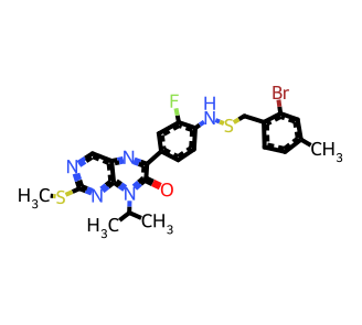 CSc1ncc2nc(-c3ccc(NSCc4ccc(C)cc4Br)c(F)c3)c(=O)n(C(C)C)c2n1